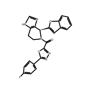 O=C(c1nnc(-c2ccc(F)cc2)o1)N1CCc2[nH]cnc2[C@H]1c1cc2ccccc2o1